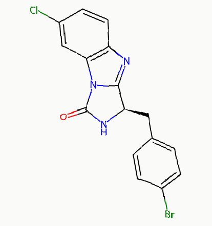 O=C1N[C@H](Cc2ccc(Br)cc2)c2nc3ccc(Cl)cc3n21